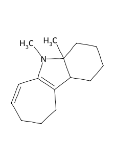 CN1C2=C(CCCC=C2)C2CCCCC21C